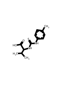 Cc1ccc(NC(=S)NC(C(=O)O)C(C)C)cc1